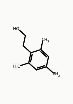 Bc1cc(C)c(CCO)c(C)c1